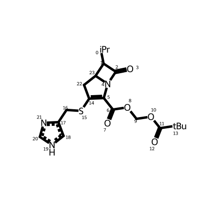 CC(C)C1C(=O)N2C(C(=O)OCOC(=O)C(C)(C)C)=C(SCc3c[nH]cn3)CC12